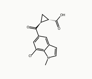 Cn1ccc2cc(C(=O)[C@H]3C[C@@H]3C(=O)O)cc(Cl)c21